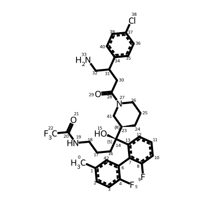 Cc1ccc(F)c(-c2c(F)cccc2[C@](O)(CCCNC(=O)C(F)(F)F)[C@@H]2CCCN(C(=O)CC(CN)c3ccc(Cl)cc3)C2)c1